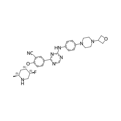 C[C@H]1C[C@H](Oc2ccc(-c3ncnc(Nc4ccc(N5CCN(C6COC6)CC5)cc4)n3)cc2C#N)[C@@H](F)CN1